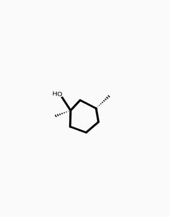 C[C@@H]1CCC[C@@](C)(O)C1